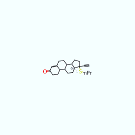 C#CC1(SCCC)CCC2C3CCC4=CC(=O)CCC4C3CC[C@@]21C